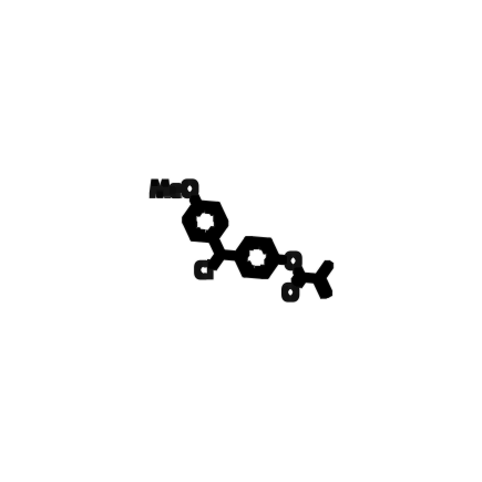 C=C(C)C(=O)Oc1ccc(C(Cl)c2ccc(OC)cc2)cc1